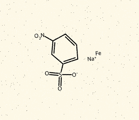 O=[N+]([O-])c1cccc(S(=O)(=O)[O-])c1.[Fe].[Na+]